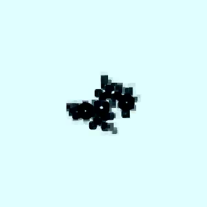 CC(C)[C@@H](NC(=O)c1cc(Cl)ccc1Cl)C(=O)N1CCC2(CC1)C(=O)N(C)C(=O)N2c1ccc2[nH]ncc2c1